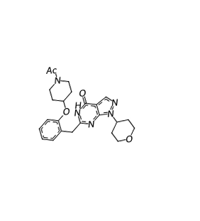 CC(=O)N1CCC(Oc2ccccc2Cc2nc3c(cnn3C3CCOCC3)c(=O)[nH]2)CC1